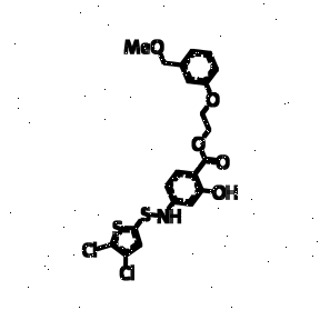 COCc1cccc(OCCOC(=O)c2ccc(NSc3cc(Cl)c(Cl)s3)cc2O)c1